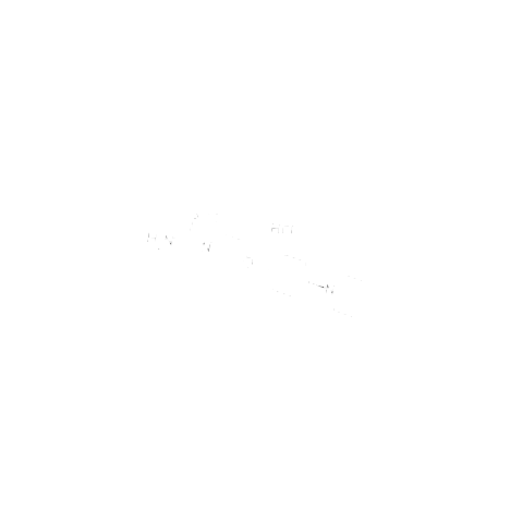 Cl.Nc1nc(CO[C@H]2CC[C@H](N3CCCCC3)CC2)cs1